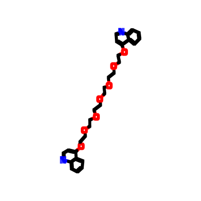 c1ccc2c(OCCOCCOCCOCCOCCOCCOc3ccnc4ccccc34)ccnc2c1